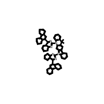 CC1(C)c2ccccc2N(c2nc(-c3cc4ccccc4c4ccccc34)c3ccccc3n2)c2cc3c(cc21)c1ccccc1n3-c1nc(-c2cc3ccccc3c3ccccc23)c2ccccc2n1